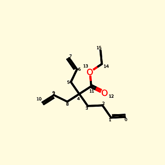 C=CCCC(CC=C)(CC=C)C(=O)OCC